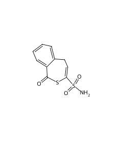 NS(=O)(=O)C1=CCc2ccccc2C(=O)S1